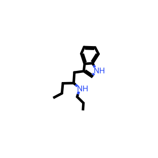 CCCNC(CCC)Cc1c[nH]c2ccccc12